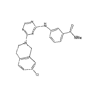 CNC(=O)c1cccc(Nc2ncnc(N3CCc4ccc(Cl)cc4C3)n2)c1